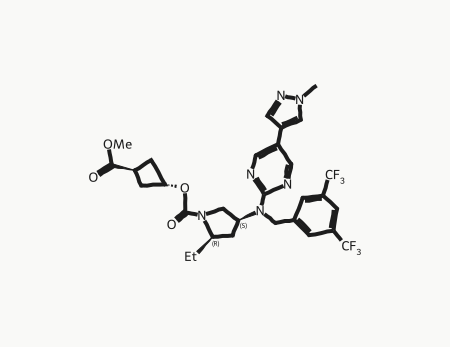 CC[C@@H]1C[C@H](N(Cc2cc(C(F)(F)F)cc(C(F)(F)F)c2)c2ncc(-c3cnn(C)c3)cn2)CN1C(=O)O[C@H]1C[C@H](C(=O)OC)C1